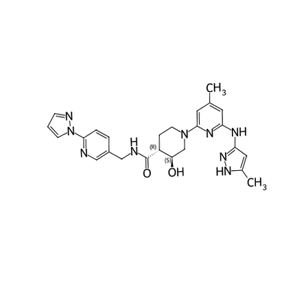 Cc1cc(Nc2cc(C)[nH]n2)nc(N2CC[C@@H](C(=O)NCc3ccc(-n4cccn4)nc3)[C@H](O)C2)c1